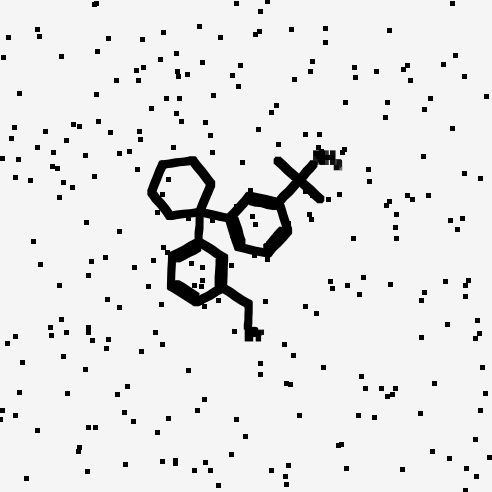 CC(C)Cc1cccc(C2(c3cccc(C(C)(C)N)c3)CCCCC2)c1